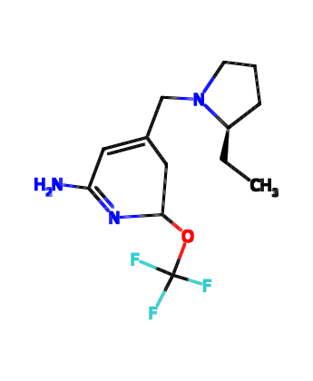 CC[C@@H]1CCCN1CC1=CC(N)=NC(OC(F)(F)F)C1